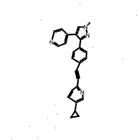 Cn1cc(-c2ccncc2)c(-c2ccc(C#Cc3ccc(C4CC4)cn3)cc2)n1